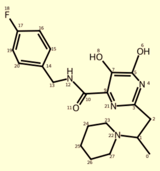 CC(Cc1nc(O)c(O)c(C(=O)NCc2ccc(F)cc2)n1)N1CCCCC1